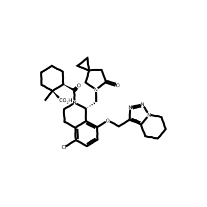 C[C@]1(C(=O)O)CCCC[C@H]1C(=O)N1CCc2c(Cl)ccc(OCc3nnn4c3CCCC4)c2[C@H]1CN1CC2(CC2)CC1=O